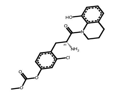 COC(=O)Oc1ccc(C[C@@H](N)C(=O)N2CCCc3cccc(O)c32)c(Cl)c1